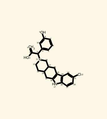 C=C(O)C(c1cccc(O)c1)N1CCC2Cc3[nH]c4ccc(Cl)cc4c3CC2C1